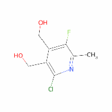 Cc1nc(Cl)c(CO)c(CO)c1F